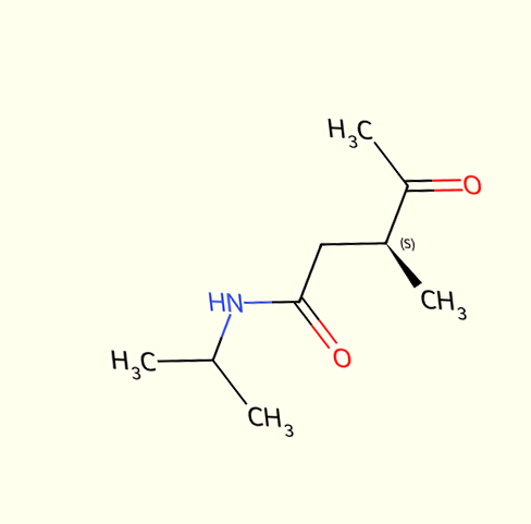 CC(=O)[C@@H](C)CC(=O)NC(C)C